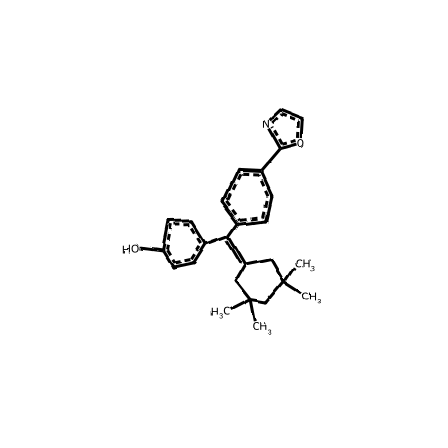 CC1(C)CC(=C(c2ccc(O)cc2)c2ccc(-c3ncco3)cc2)CC(C)(C)C1